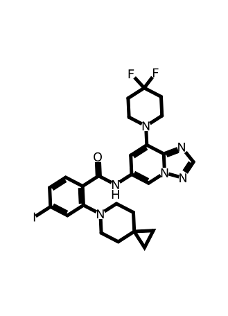 O=C(Nc1cc(N2CCC(F)(F)CC2)c2ncnn2c1)c1ccc(I)cc1N1CCC2(CC1)CC2